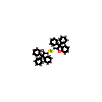 OC(CSSCC(O)C(c1ccccc1)(c1ccccc1)c1ccccc1)C(c1ccccc1)(c1ccccc1)c1ccccc1